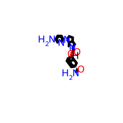 Nc1ccc(N2CCC3CN(C(=O)O[C@H]4C5CC6CC4C[C@](C(N)=O)(C6)C5)CC32)nc1